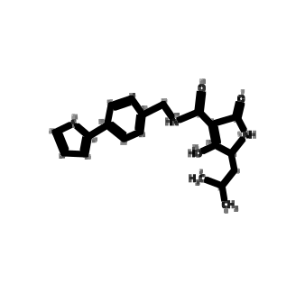 CC(C)CC1NC(=O)C(C(=O)NCc2ccc(-c3cccs3)cc2)=C1O